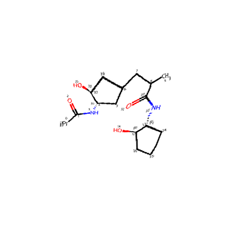 CC(C)C(=O)N[C@H]1CC(CC(C)C(=O)N[C@@H]2CCC[C@H]2O)C[C@@H]1O